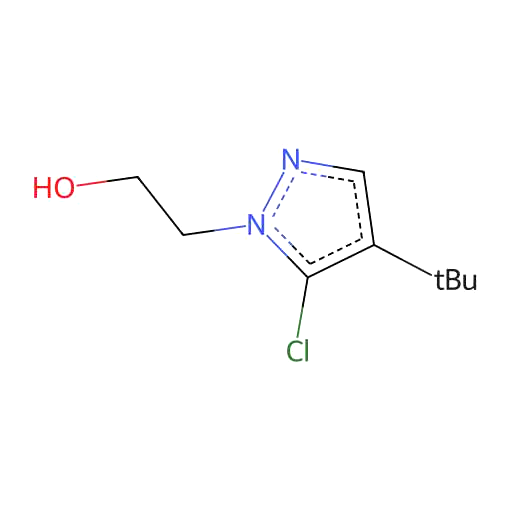 CC(C)(C)c1cnn(CCO)c1Cl